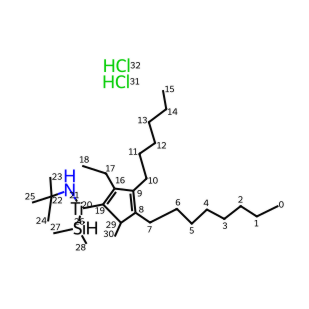 CCCCCCCCC1=C(CCCCCC)C(CC)=[C]([Ti]([NH]C(C)(C)C)[SiH](C)C)C1C.Cl.Cl